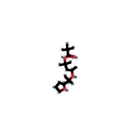 CC(CC(C)(C)OC(=O)C(C)(C)C)OC(C)(C)C1CCCO1